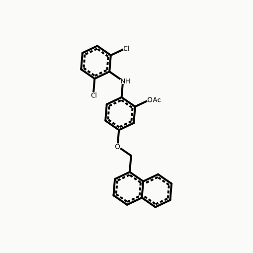 CC(=O)Oc1cc(OCc2cccc3ccccc23)ccc1Nc1c(Cl)cccc1Cl